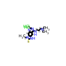 CCn1c(=S)[nH]c2cc3c(NCCCN(C)C)ncnc3cc21.Cl.Cl